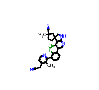 Cc1c(CC#N)ccnc1-c1cccc(-c2cnc3c(c2Cl)C2(CCC(C)(C#N)C2)CN3)c1F